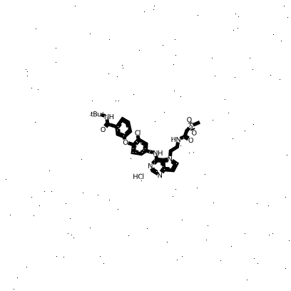 CC(C)(C)NC(=O)c1cccc(Oc2ccc(Nc3ncnc4ccn(CCNC(=O)CS(C)(=O)=O)c34)cc2Cl)c1.Cl